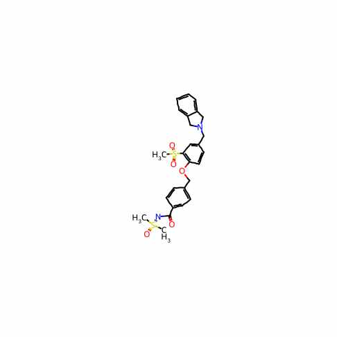 CS(=O)(=O)c1cc(CN2Cc3ccccc3C2)ccc1OCc1ccc(C(=O)N=S(C)(C)=O)cc1